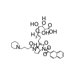 CCC[C@H]1C(=O)N(S(=O)(=O)c2ccc3ccccc3c2)C2=CCN(C(=O)CCCN3CCCCC3)[C@@H]21.O=C(O)C(O)C(O)C(=O)O